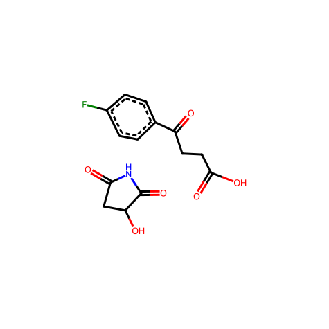 O=C(O)CCC(=O)c1ccc(F)cc1.O=C1CC(O)C(=O)N1